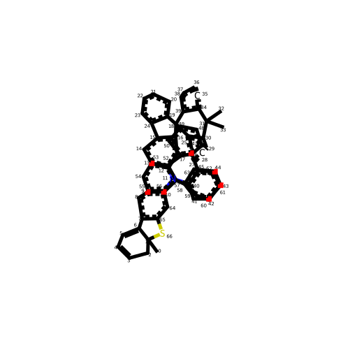 CC12CC=CC=C1c1ccc(N(c3ccc4c(c3)C3(c5ccccc5-4)c4ccccc4C(C)(C)c4ccccc43)c3ccccc3-c3ccccc3-c3ccccc3-c3ccccc3)cc1S2